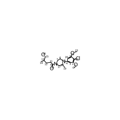 COc1cc(N2CCN(C(=O)CCC(C)C=O)C[C@@H]2C)cc(OC)c1Cl